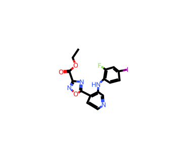 CCOC(=O)c1noc(-c2ccncc2Nc2ccc(I)cc2F)n1